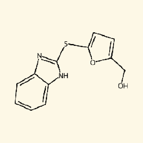 OCc1ccc(Sc2nc3ccccc3[nH]2)o1